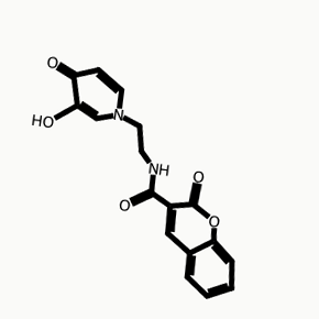 O=C(NCCn1ccc(=O)c(O)c1)c1cc2ccccc2oc1=O